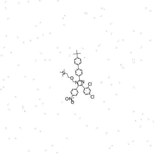 CC(C)(C)c1ccc(-c2ccc(-c3nc(-c4ccc(Cl)cc4Cl)c(-c4ccc([N+](=O)[O-])cc4)n3COCC[Si](C)(C)C)cc2)cc1